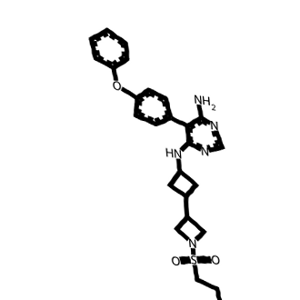 Nc1ncnc(NC2CC(C3CN(S(=O)(=O)CCCl)C3)C2)c1-c1ccc(Oc2ccccc2)cc1